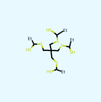 CCC(S)SCC(CSC(S)CC)(CSC(S)CC)CSC(S)CC